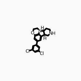 Clc1cc(Cl)cc(-c2cc3c4c(c2)[C@@H]2CNCC[C@@H]2N4CCO3)c1